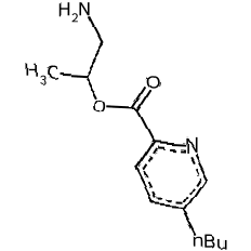 CCCCc1ccc(C(=O)OC(C)CN)nc1